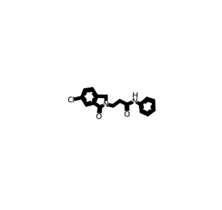 O=C(CCN1Cc2ccc(Cl)cc2C1=O)Nc1ccccc1